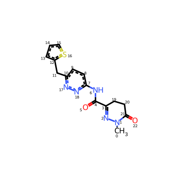 CN1N=C(C(=O)Nc2ccc(Cc3cccs3)nn2)CCC1=O